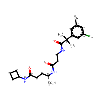 CC(C)(C(=O)NCCC(=O)N[C@@H](CCC(=O)NC1CCC1)C(=O)O)c1cc(F)cc(C#N)c1